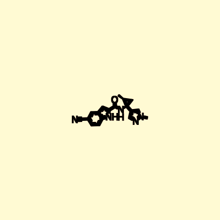 C[C@H]1C[C@]1(NC(=O)c1cc2cc(C#N)ccc2[nH]1)c1cnn(C)c1